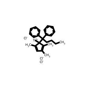 CCCCC(c1ccccc1)(c1ccccc1)[C]1([Ti+3])C(C)=CC(C)=C1C.[Cl-].[Cl-].[Cl-]